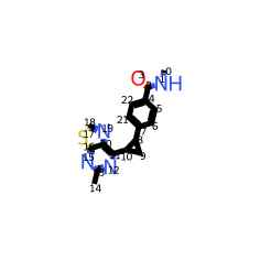 CNC(=O)c1ccc(C2CC2c2nc(C)nc3scnc23)cc1